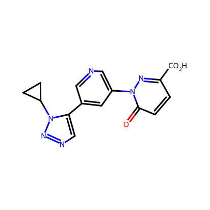 O=C(O)c1ccc(=O)n(-c2cncc(-c3cnnn3C3CC3)c2)n1